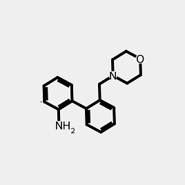 Nc1[c]cccc1-c1ccccc1CN1CCOCC1